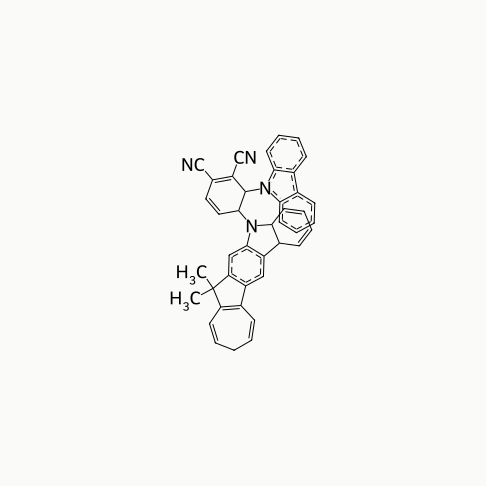 CC1(C)C2=C(C=CCC=C2)c2cc3c(cc21)N(C1C=CC(C#N)=C(C#N)C1n1c2ccccc2c2ccccc21)C1C=CC=CC31